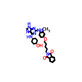 Cc1cc(OCCCCCN2C(=O)c3ccccc3C2=O)ccc1Nc1nc(N[C@H]2CC[C@H](O)CC2)c2nc[nH]c2n1